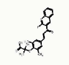 Cc1cc(/C=C/C(=O)c2cc3ccccc3nc2F)cc(C)c1OC(C)(C)C(=O)O